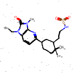 Cn1c(=O)n(CC(C)(C)C)c2ccc(C3CCC(C)(C)C(CCN[SH](=O)=O)C3)nc21